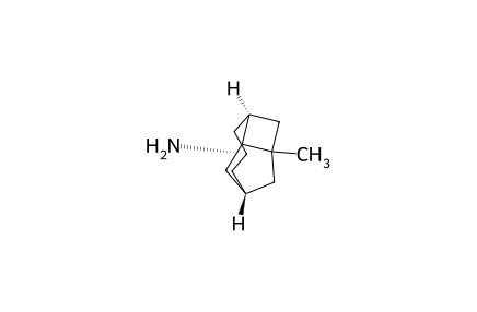 CC12C[C@@H]3CC1[C@@H](C[C@H](N)C3)C2